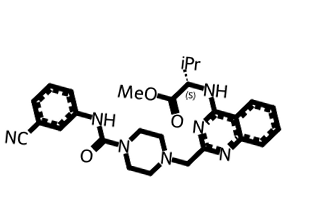 COC(=O)[C@@H](Nc1nc(CN2CCN(C(=O)Nc3cccc(C#N)c3)CC2)nc2ccccc12)C(C)C